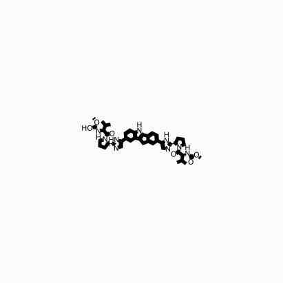 COC(=O)N[C@H](C(=O)N1CCC[C@H]1c1ncc(-c2ccc3c(c2)Cc2c-3[nH]c3ccc(-c4cnc([C@@H]5CCCN5C(=O)C(NC(O)OC)C(C)C)[nH]4)cc23)[nH]1)C(C)C